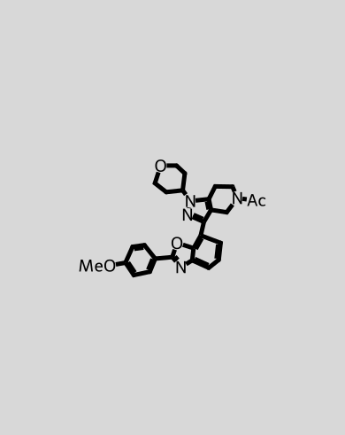 COc1ccc(-c2nc3cccc(-c4nn(C5CCOCC5)c5c4CN(C(C)=O)CC5)c3o2)cc1